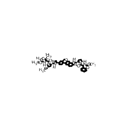 COC[C@H]1C[C@@H](c2ncc(-c3ccc4c(c3)COc3cc5c(ccc6nc([C@@H]7CCCN7C(=O)[C@H](NC(=O)OC)c7ccccc7)[nH]c65)cc3-4)[nH]2)N(C(=O)[C@@H](NC(=O)OC)C(C)C)C1